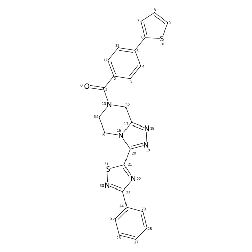 O=C(c1ccc(-c2cccs2)cc1)N1CCn2c(nnc2-c2nc(-c3ccccc3)ns2)C1